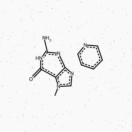 Cn1cnc2nc(N)[nH]c(=O)c21.c1ccncc1